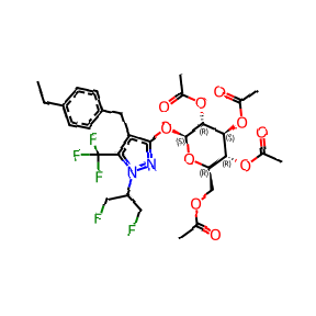 CCc1ccc(Cc2c(O[C@@H]3O[C@H](COC(C)=O)[C@@H](OC(C)=O)[C@H](OC(C)=O)[C@H]3OC(C)=O)nn(C(CF)CF)c2C(F)(F)F)cc1